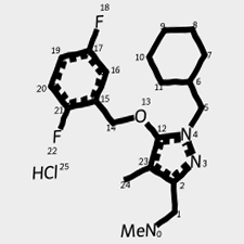 CNCc1nn(CC2CCCCC2)c(OCc2cc(F)ccc2F)c1C.Cl